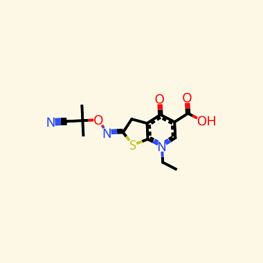 CCn1cc(C(=O)O)c(=O)c2c1SC(=NOC(C)(C)C#N)C2